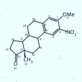 COc1cc2c(cc1[N+](=O)[O-])C1CC[C@]3(C)C(=O)CCC3C1CC2